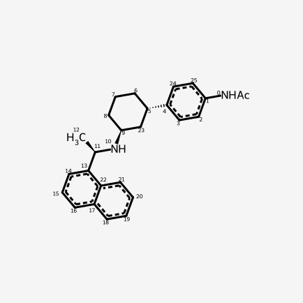 CC(=O)Nc1ccc([C@H]2CCC[C@H](N[C@H](C)c3cccc4ccccc34)C2)cc1